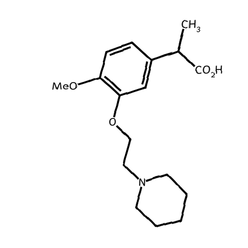 COc1ccc(C(C)C(=O)O)cc1OCCN1CCCCC1